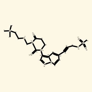 C[Si](C)(C)CCOCN1C(=O)CCN(c2cnn3ccc(C#CCOS(C)(=O)=O)cc23)C1=O